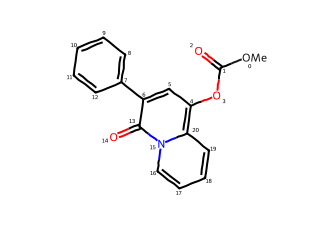 COC(=O)Oc1cc(-c2ccccc2)c(=O)n2ccccc12